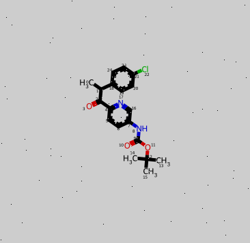 CC(C(=O)c1ccc(NC(=O)OC(C)(C)C)cn1)c1ccc(Cl)cc1